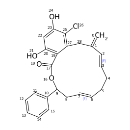 C=C1/C=C/CC/C=C/CC(c2ccccc2)OC(=O)c2c(O)cc(O)c(Cl)c2C1